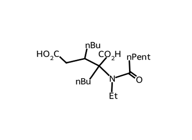 CCCCCC(=O)N(CC)C(CCCC)(C(=O)O)C(CCCC)CC(=O)O